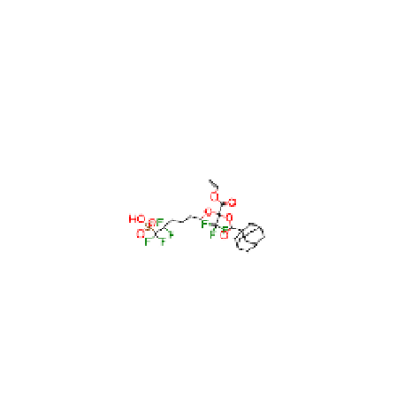 C=COC(=O)C(OCCCCC(F)(F)C(F)(F)S(=O)(=O)O)(OC(=O)C12CC3CC(CC(C3)C1)C2)C(F)(F)F